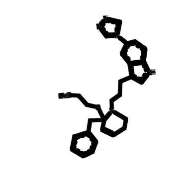 COCCOC1(Cc2ccccc2)C=CCCN1CCCc1c[nH]c2ccc(-n3cnnc3)cc12